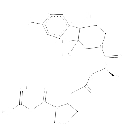 C=C(C)OC(=O)N1CCC[C@H]1CC(=O)N[C@@H](C(=O)N1CC[C@](O)(c2ccc(Cl)cc2)C(C)(C)C1)C(C)C